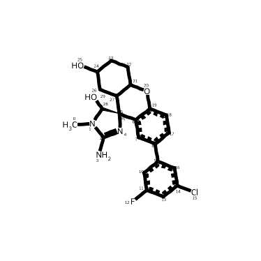 CN1C(N)=N[C@]2(c3cc(-c4cc(F)cc(Cl)c4)ccc3OC3CCC(O)CC32)C1O